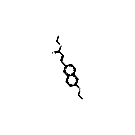 CCOC(=O)C=Cc1ccc2cc(OCC)ccc2c1